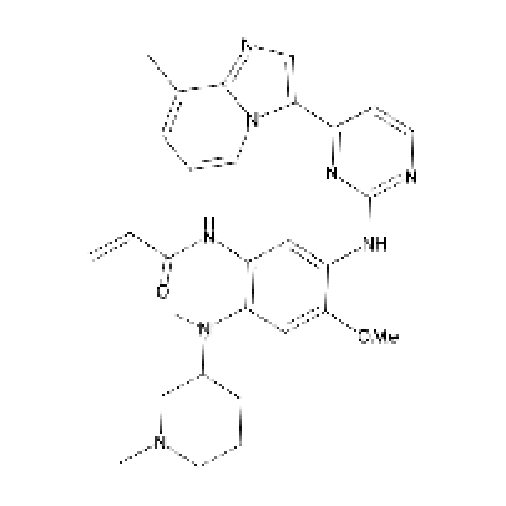 C=CC(=O)Nc1cc(Nc2nccc(-c3cnc4c(C)cccn34)n2)c(OC)cc1N(C)C1CCCN(C)C1